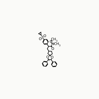 CON(C)C(=O)C(CC1CCC2(C1)OC(c1ccccc1)[C@@H](c1ccccc1)O2)c1ccc(S(=O)(=O)C2CC2)cc1